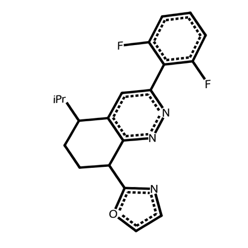 CC(C)C1CCC(c2ncco2)c2nnc(-c3c(F)cccc3F)cc21